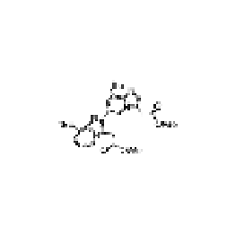 COC(=O)Cc1cnc2c(C(C)(C)C)cc(-c3nc4c(C(C)(C)C)cccn4c3CC(=O)OC)cn12